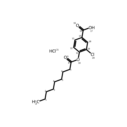 CCCCCCCCC(=O)Oc1ccc(C(=O)O)cc1Cl.Cl